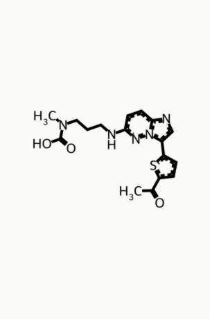 CC(=O)c1ccc(-c2cnc3ccc(NCCCN(C)C(=O)O)nn23)s1